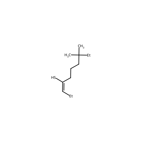 CC/C=C(/S)CCCC(C)(C)CC